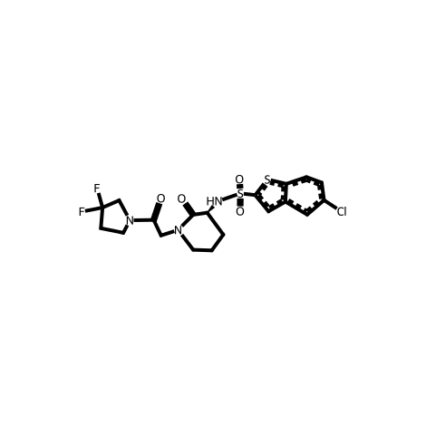 O=C(CN1CCC[C@H](NS(=O)(=O)c2cc3cc(Cl)ccc3s2)C1=O)N1CCC(F)(F)C1